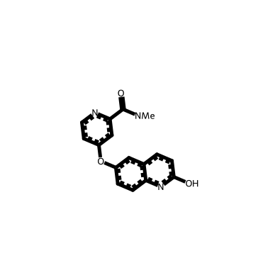 CNC(=O)c1cc(Oc2ccc3nc(O)ccc3c2)ccn1